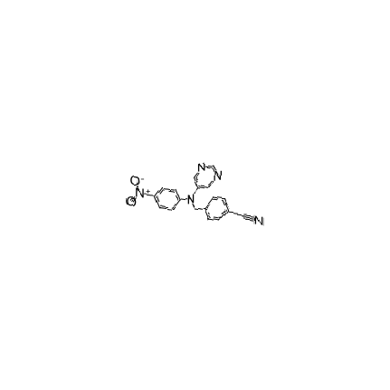 N#Cc1ccc(CN(c2ccc([N+](=O)[O-])cc2)c2cncnc2)cc1